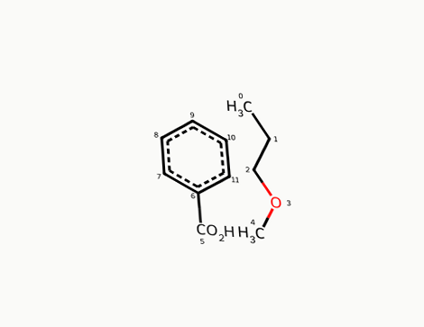 CCCOC.O=C(O)c1ccccc1